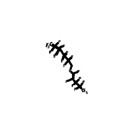 FC(OCC(F)(F)C(F)(F)C(F)(F)C(F)(F)C(F)(F)F)=C(F)C(F)(F)C(F)(F)C(F)(F)F